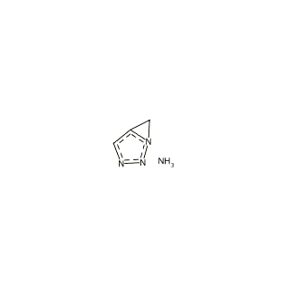 N.c1nnn2c1C2